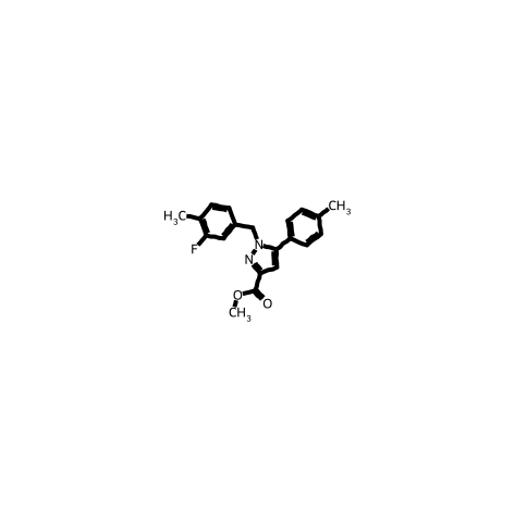 COC(=O)c1cc(-c2ccc(C)cc2)n(Cc2ccc(C)c(F)c2)n1